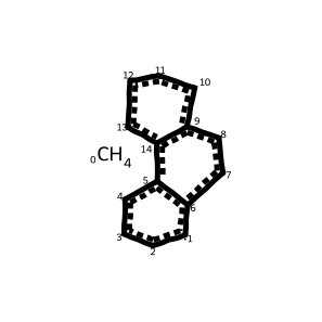 C.[c]1cccc2c1ccc1ccccc12